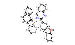 c1cc(-c2nc(-c3ccc4c(c3)oc3ccccc34)nc3ccccc23)c2c(c1)ccc1c3ccccc3sc12